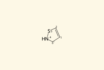 [CH]1C=CSN1